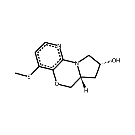 CSc1ccnc2c1OC[C@H]1C[C@@H](O)CN21